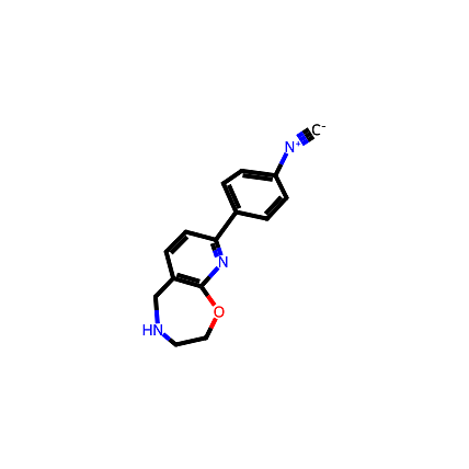 [C-]#[N+]c1ccc(-c2ccc3c(n2)OCCNC3)cc1